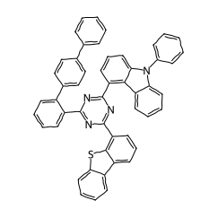 c1ccc(-c2ccc(-c3ccccc3-c3nc(-c4cccc5c4sc4ccccc45)nc(-c4cccc5c4c4ccccc4n5-c4ccccc4)n3)cc2)cc1